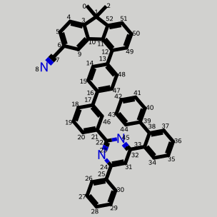 CC1(C)c2ccc(C#N)cc2-c2c(-c3ccc(-c4cccc(-c5nc(-c6ccccc6)cc(-c6ccccc6-c6ccccc6)n5)c4)cc3)cccc21